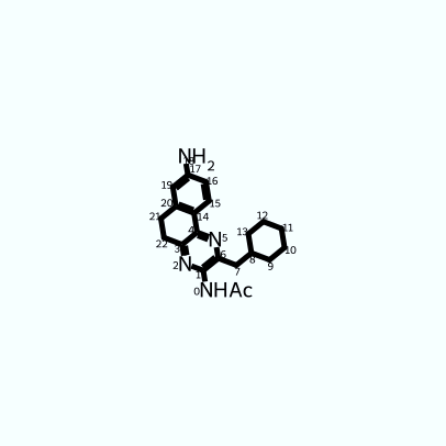 CC(=O)Nc1nc2c(nc1CC1CCCCC1)-c1ccc(N)cc1CC2